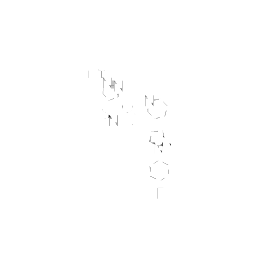 CC(C)n1cc(SN2CCC3Cc4c(cnn4-c4ccc(F)cc4)CC3(C(=O)c3ccccn3)C2)cn1